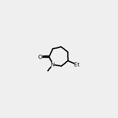 CCC1CCCC(=O)N(C)C1